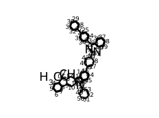 CC1(C)c2ccccc2C2=Cc3c(c4cc(C5=CCC(c6nc(-c7ccc(-c8ccccc8)cc7)c7ccccc7n6)C=C5)ccc4n3C3=CCCC=C3)CC21